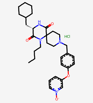 CCCCN1C(=O)[C@H](CC2CCCCC2)NC(=O)C12CCN(Cc1ccc(Oc3ccc[n+]([O-])c3)cc1)CC2.Cl